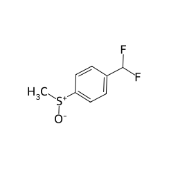 C[S+]([O-])c1ccc(C(F)F)cc1